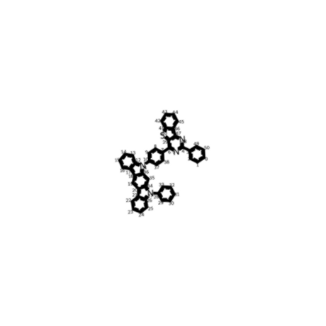 c1ccc(-c2nc(-c3ccc(-n4c5ccccc5c5cc6c7ccccc7n(-c7ccccc7)c6cc54)cc3)c3sc4ccccc4c3n2)cc1